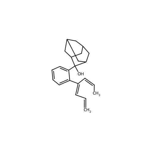 C=C/C=C(\C=C/C)c1ccccc1C1(O)C2CC3CC(C2)CC1C3